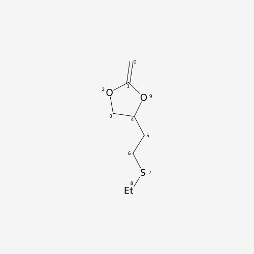 C=C1OCC(CCSCC)O1